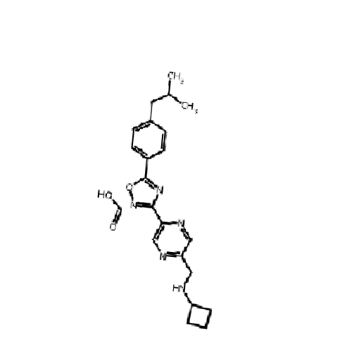 CC(C)Cc1ccc(-c2nc(-c3cnc(CNC4CCC4)cn3)no2)cc1.O=CO